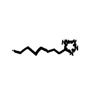 [CH2]CCCCCCCc1nnn[nH]1